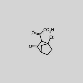 CCC12CCC(C1)C(=O)C2C(=O)C(=O)O